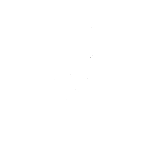 O=S(=O)(c1cn[nH]c1)N1CCC(Nc2ncc(C(F)(F)F)c(O[C@H]3CCOC3)n2)CC1